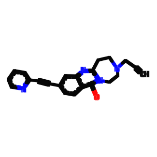 C#CCN1CCc2nc3cc(C#Cc4ccccn4)ccc3c(=O)n2CC1